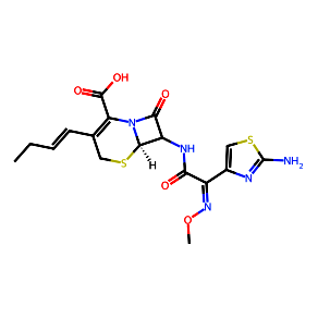 CC/C=C/C1=C(C(=O)O)N2C(=O)C(NC(=O)/C(=N\OC)c3csc(N)n3)[C@H]2SC1